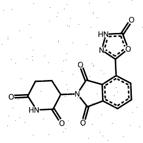 O=C1CCC(N2C(=O)c3cccc(-c4n[nH]c(=O)o4)c3C2=O)C(=O)N1